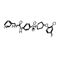 O=C(NCc1cccnc1)Nc1ccc(S(=O)(=O)N2CCC(Oc3ccc(F)cc3Cl)CC2)cc1